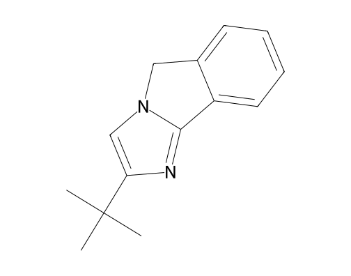 CC(C)(C)c1cn2c(n1)-c1ccccc1C2